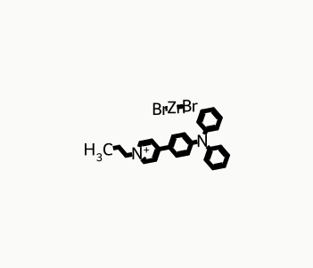 CCC[n+]1ccc(-c2ccc(N(c3ccccc3)c3ccccc3)cc2)cc1.[Br][Zn][Br]